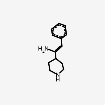 NC(=Cc1ccccc1)C1CCNCC1